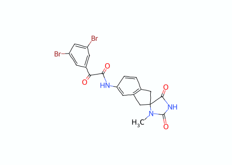 CN1C(=O)NC(=O)C12Cc1ccc(NC(=O)C(=O)c3cc(Br)cc(Br)c3)cc1C2